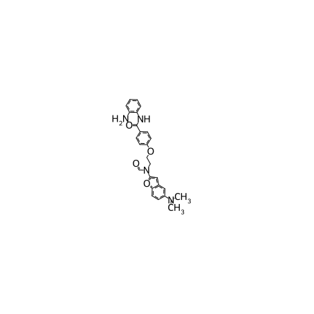 CN(C)c1ccc2oc(N(C=O)CCOc3ccc(C(=O)Nc4ccccc4N)cc3)cc2c1